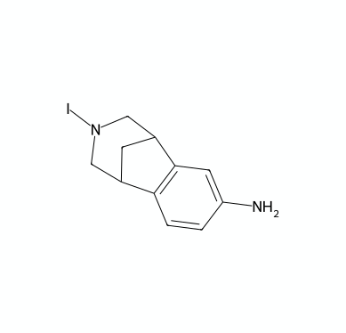 Nc1ccc2c(c1)C1CC2CN(I)C1